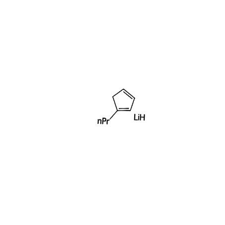 CCCC1=CC=CC1.[LiH]